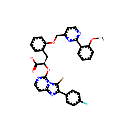 COc1ccccc1-c1nccc(COc2ccccc2C[C@@H](Oc2nccc3nc(-c4ccc(F)cc4)c(Br)n23)C(=O)O)n1